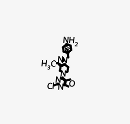 Cc1nn(CC23CCC(N)(CC2)CC3)c2c1CN(c1nc(Cl)nc3c1COC3)CC2